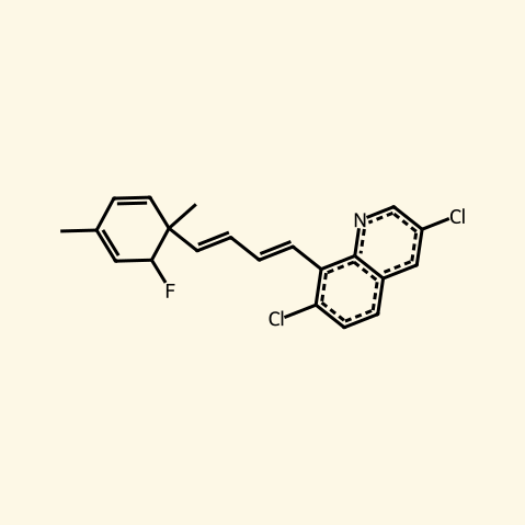 CC1=CC(F)C(C)(C=CC=Cc2c(Cl)ccc3cc(Cl)cnc23)C=C1